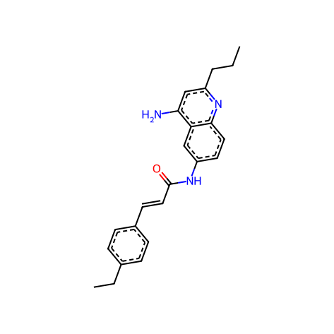 CCCc1cc(N)c2cc(NC(=O)C=Cc3ccc(CC)cc3)ccc2n1